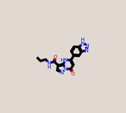 CCCNC(=O)c1cnn2c(=O)cc(-c3ccc4[nH]nnc4c3)[nH]c12